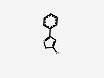 OC1=CC(c2ccccc2)=NC1